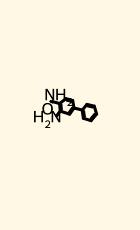 NC(=O)c1ccc(-c2ccccc2)cc1N